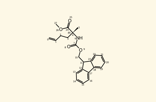 C=CCC[C@@](C)(NC(=O)OCC1c2ccccc2-c2ccccc21)C(=O)OC